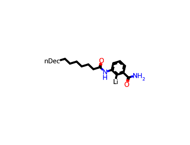 [Li][c]1c(NC(=O)CCCCCCCCCCCCCCCC)cccc1C(N)=O